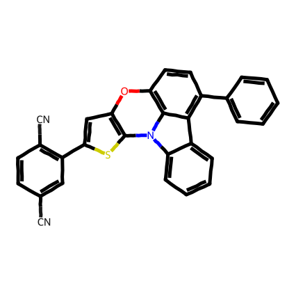 N#Cc1ccc(C#N)c(-c2cc3c(s2)-n2c4ccccc4c4c(-c5ccccc5)ccc(c42)O3)c1